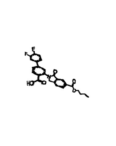 CCCCOC(=O)c1ccc2c(c1)C(=O)N(c1cc(-c3ccc(F)c(F)c3)ccc1C(=O)O)C2